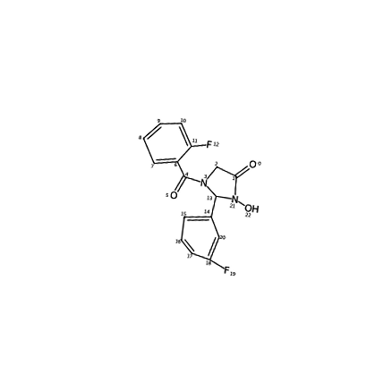 O=C1CN(C(=O)c2ccccc2F)C(c2cccc(F)c2)N1O